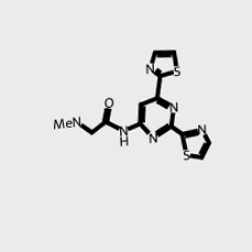 CNCC(=O)Nc1cc(-c2nccs2)nc(-c2nccs2)n1